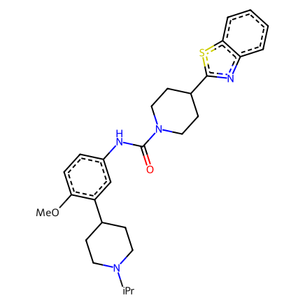 COc1ccc(NC(=O)N2CCC(c3nc4ccccc4s3)CC2)cc1C1CCN(C(C)C)CC1